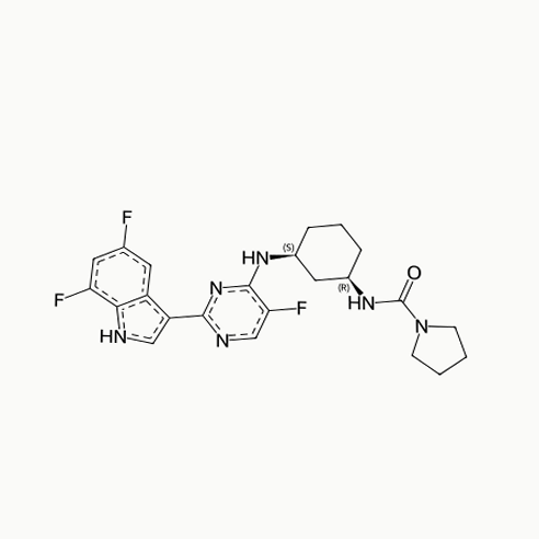 O=C(N[C@@H]1CCC[C@H](Nc2nc(-c3c[nH]c4c(F)cc(F)cc34)ncc2F)C1)N1CCCC1